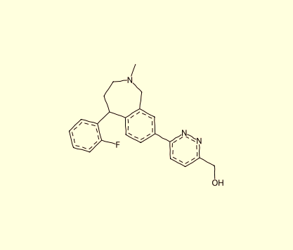 CN1CCC(c2ccccc2F)c2ccc(-c3ccc(CO)nn3)cc2C1